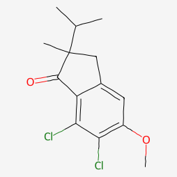 COc1cc2c(c(Cl)c1Cl)C(=O)C(C)(C(C)C)C2